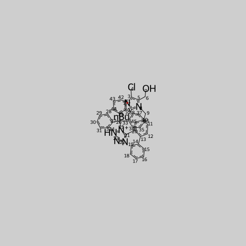 CCCCc1nc(Cl)c(CO)n1Cc1ccc(-c2ccccc2)c(-c2nn[nH][n+]2C(c2ccccc2)(c2ccccc2)c2ccccc2)c1